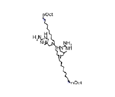 CCCCCCCC/C=C\CCCCCCCCN(CCCCN(CCCCCCCC/C=C/CCCCCCCC)CC(C)CNC(=N)N)CC(C)CNC(=N)N